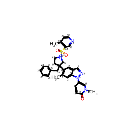 Cc1cc2c(cnn2-c2ccc(=O)n(C)c2)cc1C1(Cc2ccccc2)CCN(S(=O)(=O)c2cnccc2C)C1